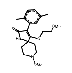 COCCOC1=C(c2cc(C)ccc2C)C(=O)NC12CCN(OC)CC2